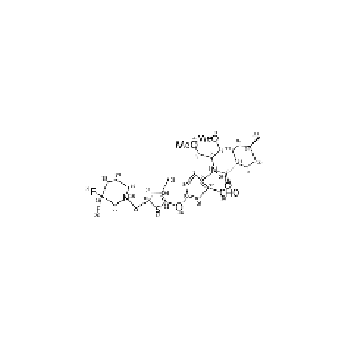 COCC(COC)N(c1ccc(Oc2sc(CN3CCCC(F)(F)C3)cc2C)cc1C=O)C(=O)[C@H]1CC[C@H](C)CC1